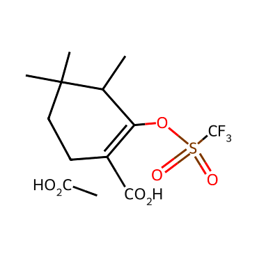 CC(=O)O.CC1C(OS(=O)(=O)C(F)(F)F)=C(C(=O)O)CCC1(C)C